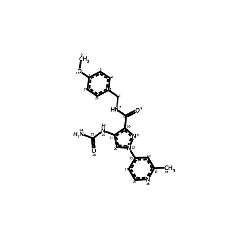 COc1ccc(CNC(=O)c2nn(-c3ccnc(C)c3)cc2NC(N)=O)cc1